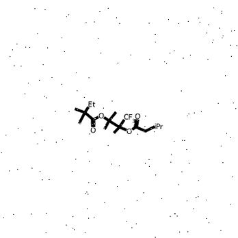 CCC(C)(C)C(=O)OC(C)(C)C(C)(OC(=O)CC(C)C)C(F)(F)F